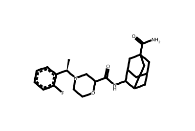 C[C@H](c1ccccc1F)N1CCOC(C(=O)NC2C3CC4CC2CC(C(N)=O)(C4)C3)C1